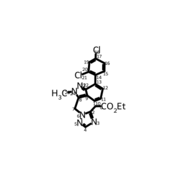 CCOC(=O)Cc1ncnn1Cc1c2cccc(-c3ccc(Cl)cc3Cl)c2nn1C